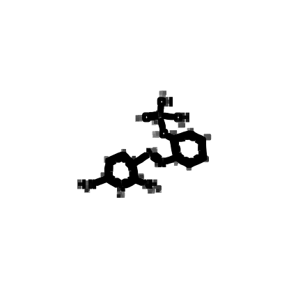 Nc1ccc(/N=N/c2ccccc2OP(=O)(O)O)c(N)n1